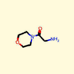 NCC(=O)[N+]1CCOCC1